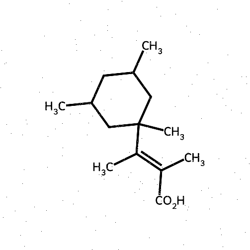 CC(C(=O)O)=C(C)C1(C)CC(C)CC(C)C1